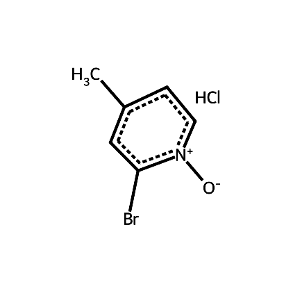 Cc1cc[n+]([O-])c(Br)c1.Cl